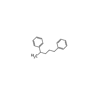 CC(CCCc1ccccc1)c1ccccc1